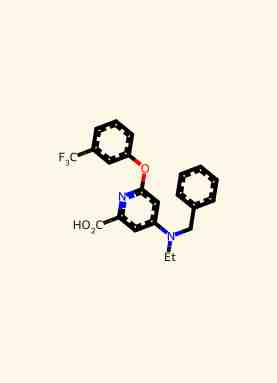 CCN(Cc1ccccc1)c1cc(Oc2cccc(C(F)(F)F)c2)nc(C(=O)O)c1